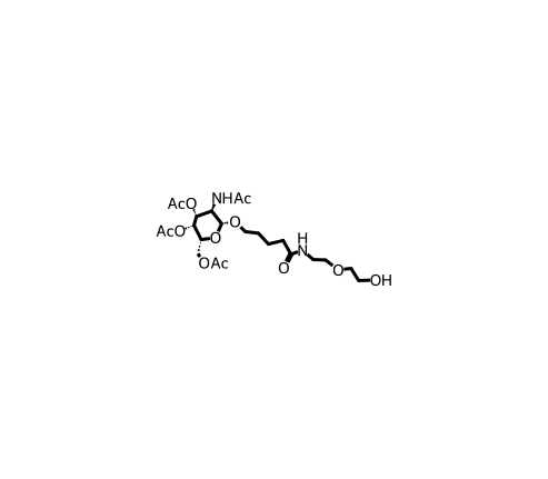 CC(=O)N[C@H]1[C@H](OCCCCC(=O)NCCOCCO)O[C@H](COC(C)=O)[C@H](OC(C)=O)[C@@H]1OC(C)=O